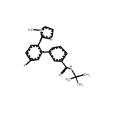 Cn1ccnc1-c1ccc(F)cc1-c1cccc(C(=O)NC(C)(C)C)c1